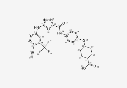 N#Cc1ccc(Nc2nnc(C(=O)Nc3ccc(OC4CCC(C(=O)O)CC4)cc3)o2)cc1C(F)(F)F